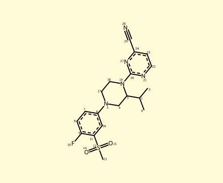 CC(C)C1CN(c2ccc(F)c(S(C)(=O)=O)c2)CCN1c1nccc(C#N)n1